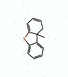 CC12CC=CC=C1Sc1ccccc12